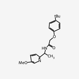 COc1ccc(C(C)NC(=O)COc2ccc(C(C)(C)C)cc2)nc1